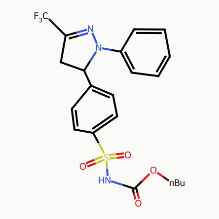 CCCCOC(=O)NS(=O)(=O)c1ccc(C2CC(C(F)(F)F)=NN2c2ccccc2)cc1